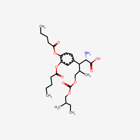 CCCCC(=O)Oc1ccc(C(C(C)COC(=O)OCC(C)CC)[C@H](N)C(=O)O)cc1OC(=O)CCCC